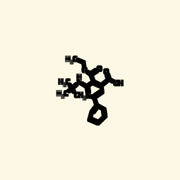 CCOC(=O)c1c(C(=O)O)cc(-c2ccccc2)nc1NC(C)(C)C